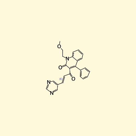 COCCn1c(=O)c(C(=O)/C=C/c2cncnc2)c(-c2ccccc2)c2ccccc21